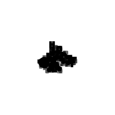 Cc1cc(-c2c(-c3ccccc3)nc(N)n3c(=O)n(C[C@H]4CC(F)(F)CN4C)nc23)cc(C)n1